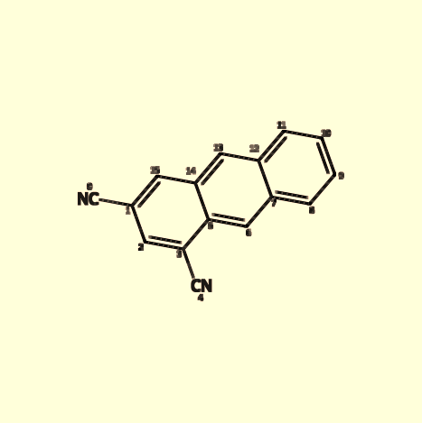 N#Cc1cc(C#N)c2cc3ccccc3cc2c1